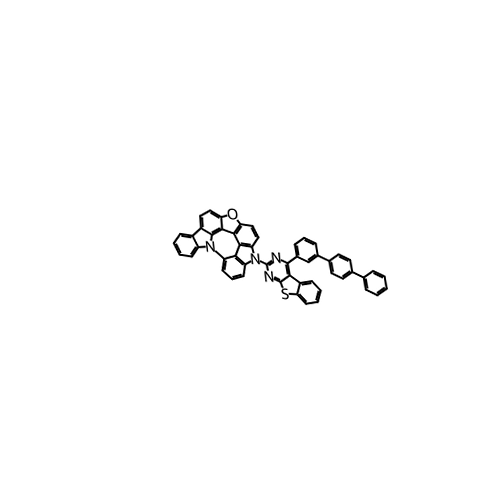 c1ccc(-c2ccc(-c3cccc(-c4nc(-n5c6ccc7oc8ccc9c%10ccccc%10n%10c%11cccc5c%11c6c7c8c9%10)nc5sc6ccccc6c45)c3)cc2)cc1